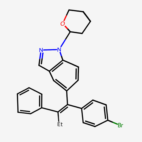 CCC(=C(c1ccc(Br)cc1)c1ccc2c(cnn2C2CCCCO2)c1)c1ccccc1